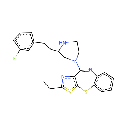 CCc1nc2c(s1)Sc1ccccc1N=C2N1CCNC(CCc2cccc(F)c2)C1